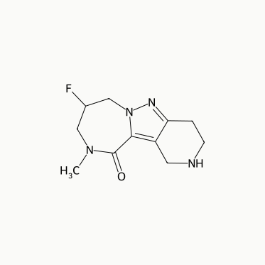 CN1CC(F)Cn2nc3c(c2C1=O)CNCC3